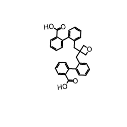 O=C(O)c1ccccc1-c1ccccc1CC1(Cc2ccccc2-c2ccccc2C(=O)O)COC1